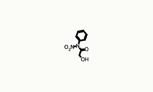 O=C(CO)N(c1ccccc1)[N+](=O)[O-]